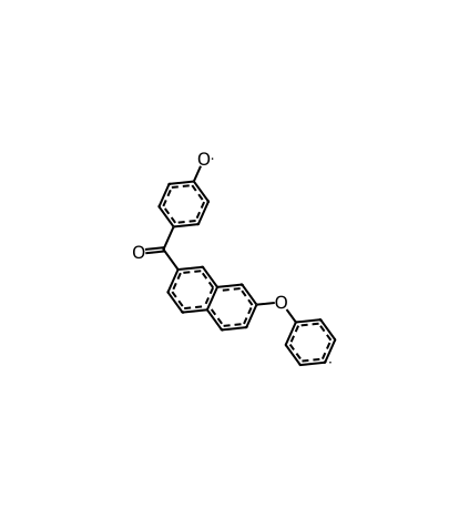 [O]c1ccc(C(=O)c2ccc3ccc(Oc4cc[c]cc4)cc3c2)cc1